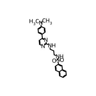 CN(C)c1ccc(-c2ccnc(NCCCNS(=O)(=O)c3ccc4ccccc4c3)n2)cc1